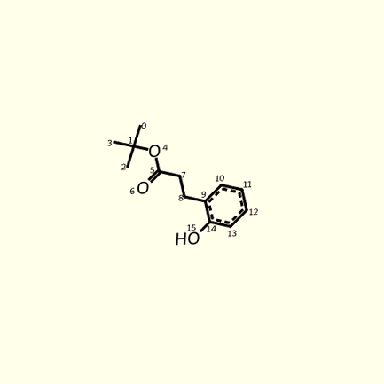 CC(C)(C)OC(=O)CCc1ccccc1O